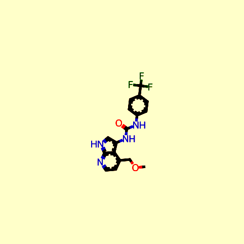 COCc1ccnc2[nH]cc(NC(=O)Nc3ccc(C(F)(F)F)cc3)c12